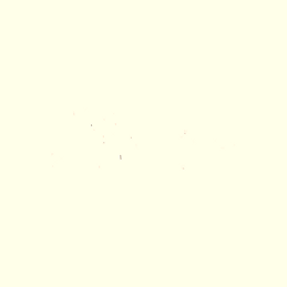 CB1OC(C)(C)C(C)(CCOc2ccc(C)cc2)O1